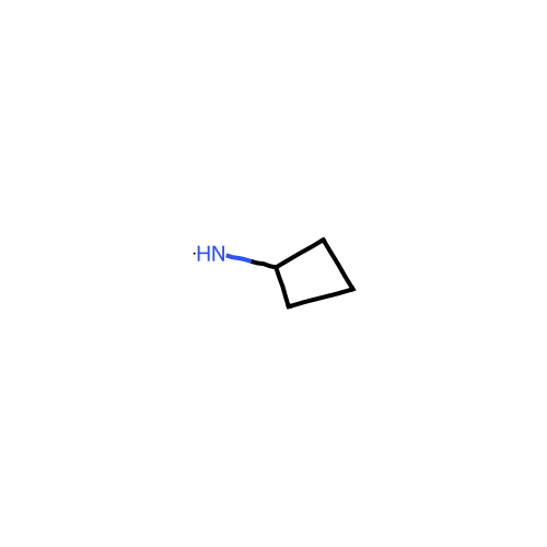 [NH]C1CCC1